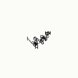 CNCC(=O)OCc1cccnc1N(C)C(=O)OCn1c(-c2ccc(OC)cc2)c(CCNS(=O)(=O)c2ccc(CCCCI)cc2)c2ccccc21